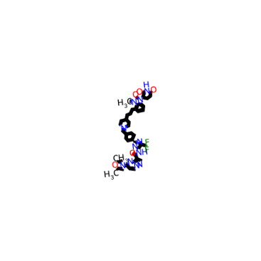 C[C@H]1CN(c2ccn3ncc(C(=O)NC4=N[C@@H](C5CCC(CN6CCC(CCCc7cccc8c7n(C)c(=O)n8C7CCC(=O)NC7=O)CC6)CC5)N=C4C(F)F)c3n2)C[C@H](C)O1